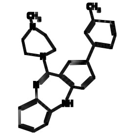 Cc1cccc(-c2ccc3c(c2)C(N2CCN(C)CC2)=Nc2ccccc2N3)c1